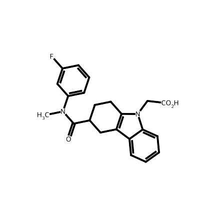 CN(C(=O)C1CCc2c(c3ccccc3n2CC(=O)O)C1)c1cccc(F)c1